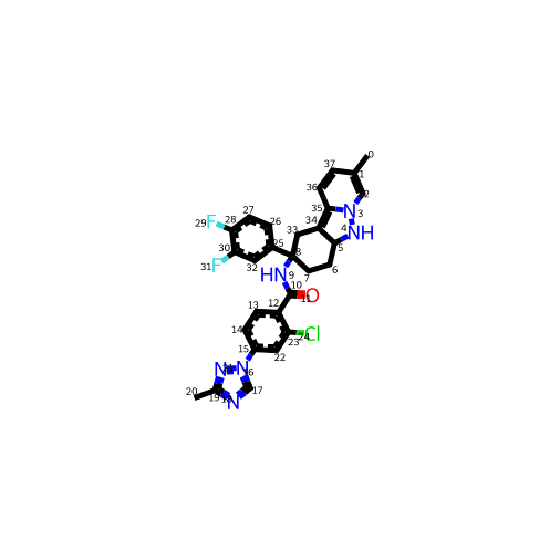 CC1=CN2NC3CCC(NC(=O)c4ccc(-n5cnc(C)n5)cc4Cl)(c4ccc(F)c(F)c4)CC3=C2C=C1